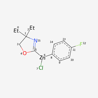 CCC1(CC)CO[C]([Zn]([Cl])[c]2ccc(F)cc2)=N1